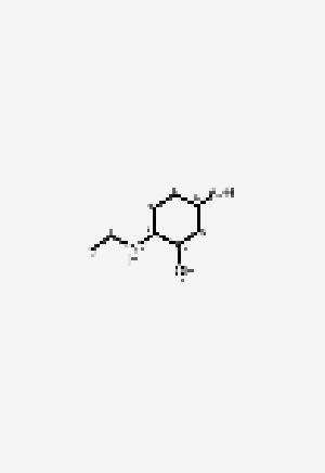 CCNC1CCC(O)CC1O